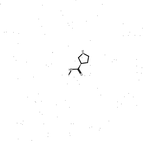 O=C(NI)[C@@H]1CCNC1